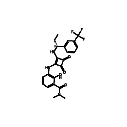 CC[C@@H](Nc1c(Nc2cccc(C(=O)N(C)C)c2O)c(=O)c1=O)c1cccc(C(F)(F)F)c1